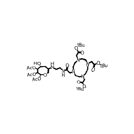 CC(=O)OC1C(OC(C)=O)[C@H](O)CC(NCCNC(=O)CN2CCN(CC(=O)OC(C)(C)C)CCN(CC(=O)OC(C)(C)C)CCN(CC(=O)OC(C)(C)C)CC2)CO[C@H]1OC(C)=O